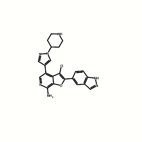 Nc1ncc(-c2cnn(C3CCNCC3)c2)c2c(Cl)c(-c3ccc4[nH]ncc4c3)oc12